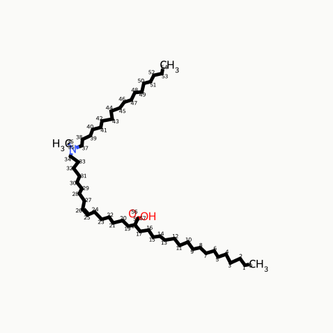 CCCCCCCCCCCCCCCCCCC(CCCCCC/C=C\CCCCCCCCN(C)CCCCCCCCCCCCCCCCCC)C(=O)O